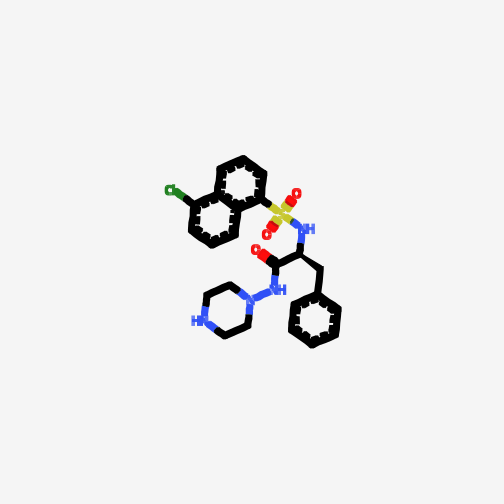 O=C(NN1CCNCC1)[C@H](Cc1ccccc1)NS(=O)(=O)c1cccc2c(Cl)cccc12